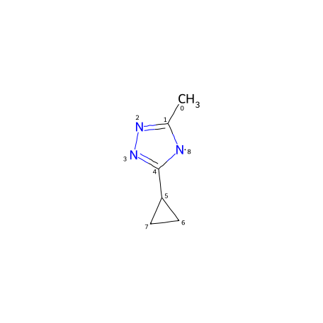 CC1=NN=C(C2CC2)[N]1